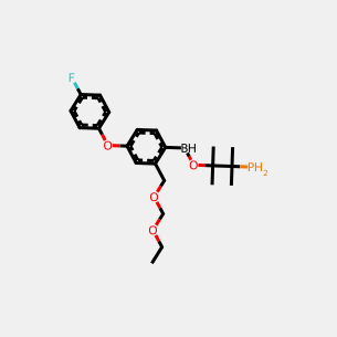 CCOCOCc1cc(Oc2ccc(F)cc2)ccc1BOC(C)(C)C(C)(C)P